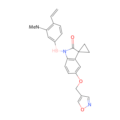 C=Cc1ccc(BN2C(=O)C3(CC3)c3cc(OCc4cnoc4)ccc32)cc1NC